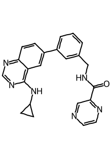 O=C(NCc1cccc(-c2ccc3ncnc(NC4CC4)c3c2)c1)c1cnccn1